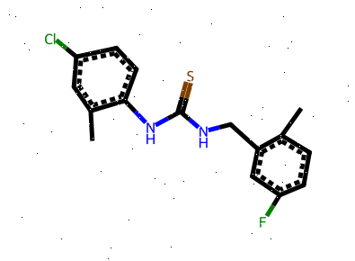 Cc1ccc(F)cc1CNC(=S)Nc1ccc(Cl)cc1C